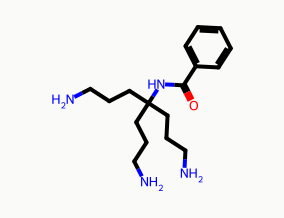 NCCCC(CCCN)(CCCN)NC(=O)c1ccccc1